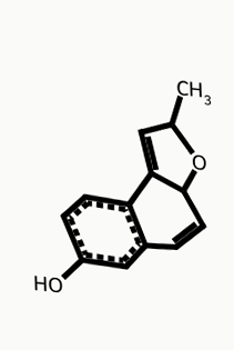 CC1C=C2c3ccc(O)cc3C=CC2O1